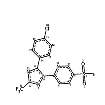 CS(=O)(=O)c1ccc(-n2nc(C(F)(F)F)nc2-c2ccc(Cl)cc2)nc1